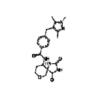 Cc1nn(C)c(C)c1Cc1ccc(C(=O)NC2CCOCC23NC(=O)NC3=O)cc1